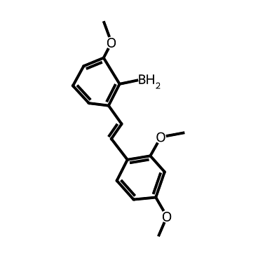 Bc1c(/C=C/c2ccc(OC)cc2OC)cccc1OC